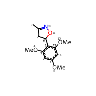 COc1cc(OC)c(C2CC(C)=NO2)c(OC)c1